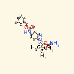 CC(C)(C)C(CNC1CCC(NC(=O)OCc2ccccc2)CC1)OC(N)=O